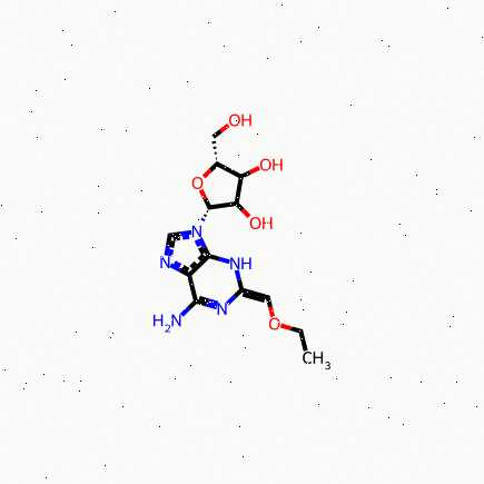 CCOC=C1N=C(N)c2ncn([C@@H]3O[C@H](CO)C(O)C3O)c2N1